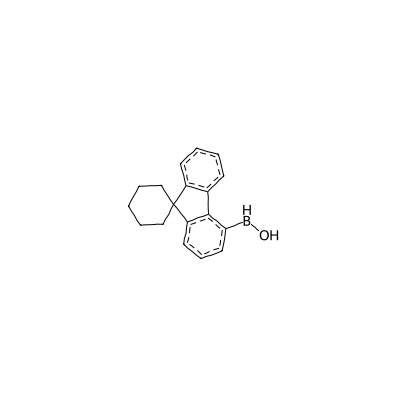 OBc1cccc2c1-c1ccccc1C21CCCCC1